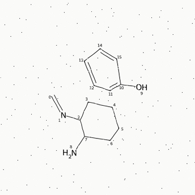 C=NC1CCCCC1N.Oc1ccccc1